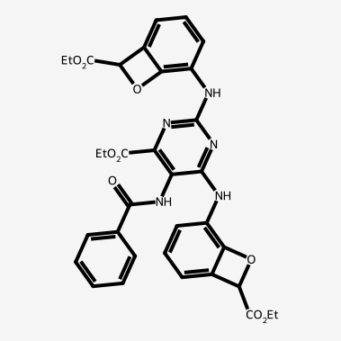 CCOC(=O)c1nc(Nc2cccc3c2OC3C(=O)OCC)nc(Nc2cccc3c2OC3C(=O)OCC)c1NC(=O)c1ccccc1